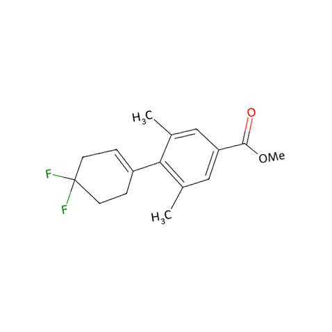 COC(=O)c1cc(C)c(C2=CCC(F)(F)CC2)c(C)c1